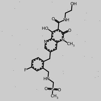 Cn1c(=O)c(C(=O)NCCO)c(O)c2ncc(Cc3ccc(F)cc3CNCS(C)(=O)=O)cc21